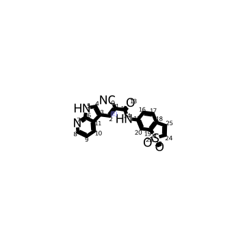 N#C/C(=C\c1c[nH]c2ncccc12)C(=O)Nc1ccc2c(c1)S(=O)(=O)C=C2